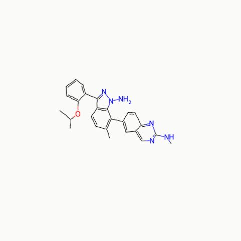 CNc1ncc2cc(-c3c(C)ccc4c(-c5ccccc5OC(C)C)nn(N)c34)ccc2n1